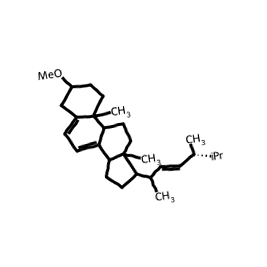 COC1CCC2(C)C(=CC=C3C2CCC2(C)C3CCC2C(C)/C=C/[C@H](C)C(C)C)C1